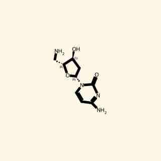 NC[C@H]1O[C@@H](n2ccc(N)nc2=O)C[C@@H]1O